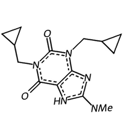 CNc1nc2c([nH]1)c(=O)n(CC1CC1)c(=O)n2CC1CC1